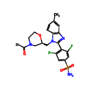 CCC(=O)N1CCO[C@@H](Cn2c(-c3c(F)cc(S(N)(=O)=O)cc3F)nc3cc(C)ccc32)C1